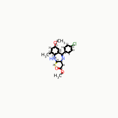 COC(=O)CC1N=C(c2ccc(Cl)cc2)c2cc(OC)cc(C)c2NC1=S